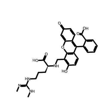 C/N=C(\NC)NCCC[C@H](NCc1c(O)ccc2c(-c3ccccc3C(=O)O)c3ccc(=O)cc-3oc12)C(=O)O